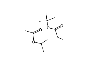 CC(=O)OC(C)C.CCC(=O)OC(C)(C)C